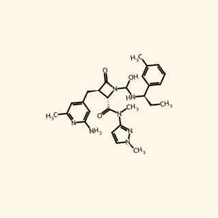 CC[C@@H](NC(O)N1C(=O)[C@H](Cc2cc(C)nc(N)c2)[C@H]1C(=O)N(C)c1ccn(C)n1)c1cccc(C)c1